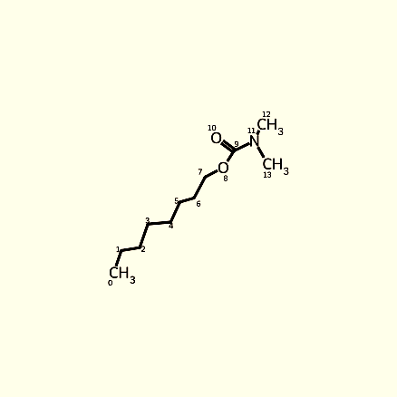 CCCCCCCCOC(=O)N(C)C